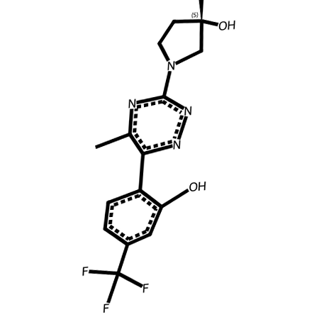 Cc1nc(N2CC[C@](C)(O)C2)nnc1-c1ccc(C(F)(F)F)cc1O